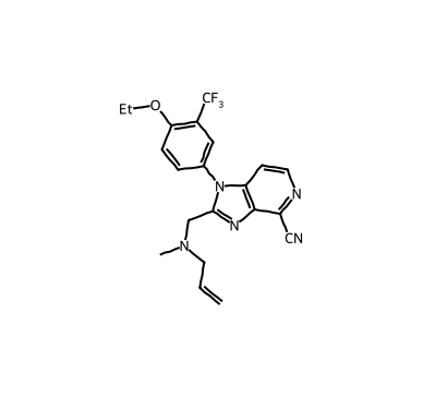 C=CCN(C)Cc1nc2c(C#N)nccc2n1-c1ccc(OCC)c(C(F)(F)F)c1